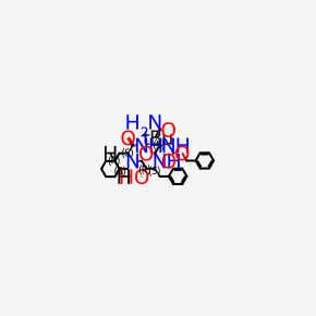 CC(C)(C)NC(=O)[C@@H]1C[C@H]2CCCC[C@@H]2CN1C[C@@H](O)[C@H](Cc1ccccc1)NC(=O)[C@H](CC(N)=O)NC(=O)OCc1ccccc1